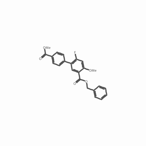 COC(=O)c1ccc(-c2cc(C(=O)OCc3ccccc3)c(OC)cc2F)cc1